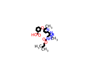 Cc1nc(-c2nnn(C)c2CNC(=O)OCCC(C)C)ccc1O[C@H]1CCC[C@H](C(=O)O)C1